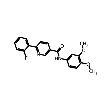 COc1ccc(NC(=O)c2ccc(-c3ccccc3F)nc2)cc1OC